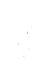 O=S(O)CCC1=CNC(Br)CN1